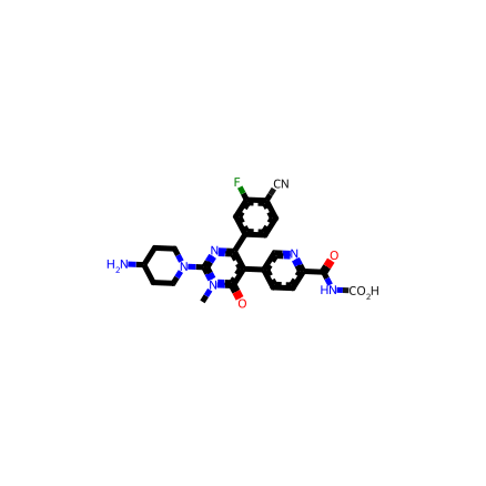 Cn1c(N2CCC(N)CC2)nc(-c2ccc(C#N)c(F)c2)c(-c2ccc(C(=O)NC(=O)O)nc2)c1=O